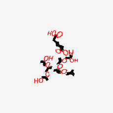 CC(C)COCC(C)OCC(C)OCC(C)O.CC(O)COC(C)COC(C)CO.O=C(O)CCCCC(=O)O